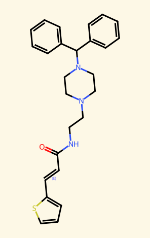 O=C(/C=C/c1cccs1)NCCN1CCN(C(c2ccccc2)c2ccccc2)CC1